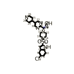 O=S(=O)(c1cc2cc(Cl)ccc2[nH]1)N1CCN(/C(=N/O)c2ncc(-c3ccncc3)cn2)CC1